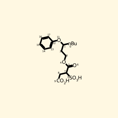 CCCCC(CCOC(=O)C(CC(=O)O)S(=O)(=O)O)Oc1ccccc1